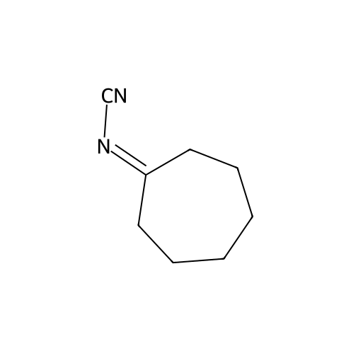 N#CN=C1CCCCCC1